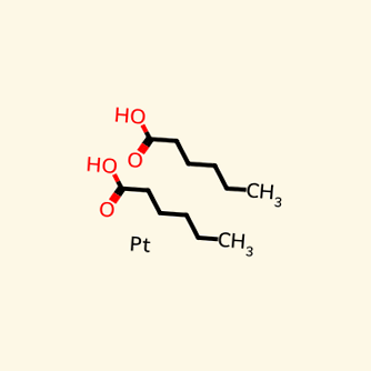 CCCCCC(=O)O.CCCCCC(=O)O.[Pt]